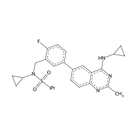 Cc1nc(NC2CC2)c2cc(-c3ccc(F)c(CN(C4CC4)S(=O)(=O)C(C)C)c3)ccc2n1